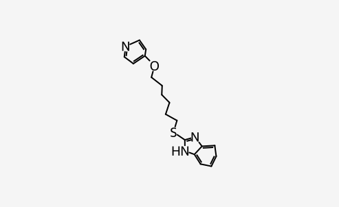 c1ccc2[nH]c(SCCCCCCOc3ccncc3)nc2c1